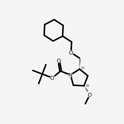 CO[C@H]1C[C@@H](COCC2CCCCC2)N(C(=O)OC(C)(C)C)C1